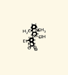 C=Cc1ccccc1N(C)C1CCN(c2cc(CC)c3c(c2)=CC(=C=O)C(=O)N=3)CC1.Cl